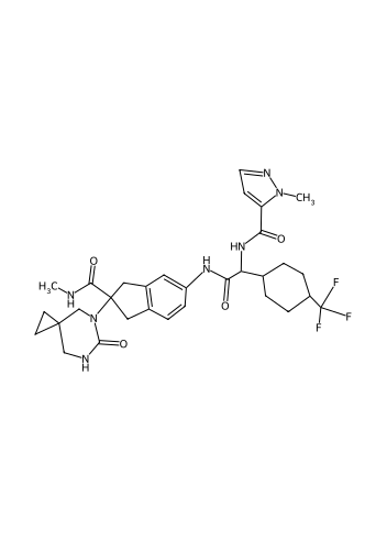 CNC(=O)C1(N2CC3(CC3)CNC2=O)Cc2ccc(NC(=O)C(NC(=O)c3ccnn3C)C3CCC(C(F)(F)F)CC3)cc2C1